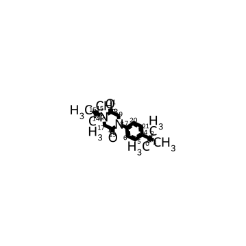 CC(C)(C)c1ccc(N2CC(=O)N(C(C)(C)C)CC2=O)cc1